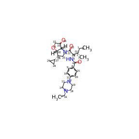 CC[C@H](C)[C@H](NC(=O)c1ccc(N2CCN(CC)CC2)cc1)C(=O)N1C[C@H](C2CC2)[C@H]2OCC(=O)[C@H]21